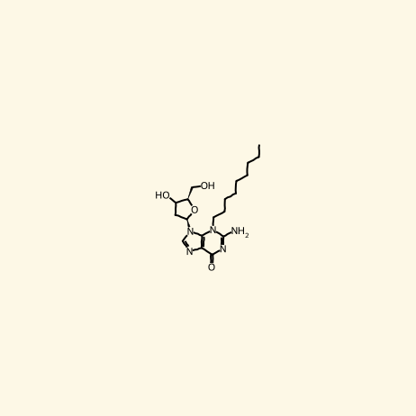 CCCCCCCCCn1c(N)nc(=O)c2ncn([C@H]3CC(O)[C@@H](CO)O3)c21